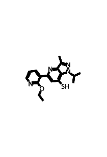 CCOc1ncccc1-c1cc(S)c2c(n1)c(C)nn2C(C)C